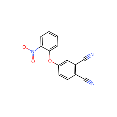 N#Cc1ccc(Oc2ccccc2[N+](=O)[O-])cc1C#N